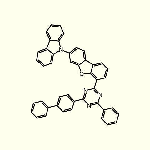 c1ccc(-c2ccc(-c3nc(-c4ccccc4)nc(-c4cccc5c4oc4cc(-n6c7ccccc7c7ccccc76)ccc45)n3)cc2)cc1